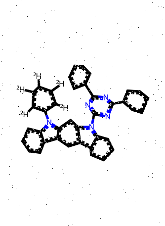 [2H]c1c([2H])c([2H])c(-n2c3ccccc3c3cc4c5ccccc5n(-c5nc(-c6ccccc6)nc(-c6ccccc6)n5)c4cc32)c([2H])c1[2H]